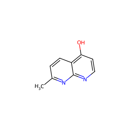 Cc1ccc2c(O)ccnc2n1